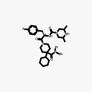 CC1CN(C(=O)N[C@H](Cc2ccc(F)cc2)C(=O)N2CCC(C(=O)N(C(C)C)C(C)C)(C3CCCCC3)CC2)CC(C)N1